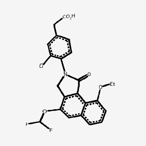 CCOc1cccc2cc(OC(F)F)c3c(c12)C(=O)N(c1ccc(CC(=O)O)cc1Cl)C3